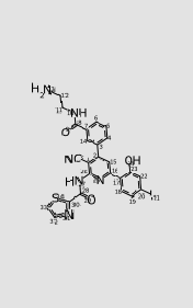 N#Cc1c(-c2cccc(C(=O)NCCN)c2)cc(-c2ccc(I)cc2O)nc1NC(=O)c1nccs1